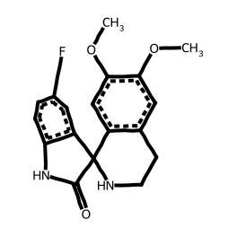 COc1cc2c(cc1OC)C1(NCC2)C(=O)Nc2ccc(F)cc21